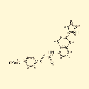 CCCCCc1ccc(C=CC(=O)Nc2cccc3c2SCC(c2nnn[nH]2)S3)cc1